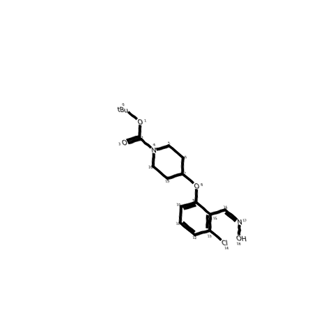 CC(C)(C)OC(=O)N1CCC(Oc2cccc(Cl)c2/C=N\O)CC1